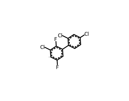 Fc1[c]c(Cl)c(F)c(-c2ccc(Cl)cc2Cl)c1